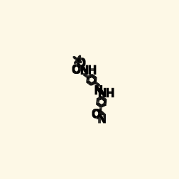 CC(C)(C)OC(=O)NCc1ccc(C=NNc2ccc(-c3cnco3)cc2)cc1